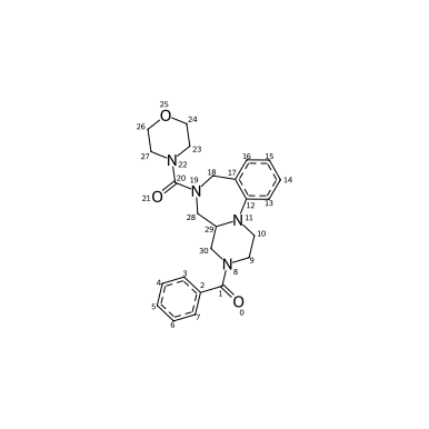 O=C(c1ccccc1)N1CCN2c3ccccc3CN(C(=O)N3CCOCC3)CC2C1